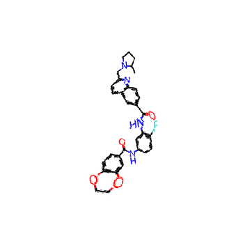 CC1CCCN1Cc1ccc2cc(C(=O)Nc3cc(NC(=O)c4ccc5c(c4)OCCO5)ccc3F)ccc2n1